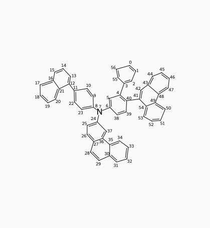 c1ccc(-c2cc(N(c3ccc(-c4cccc5ccccc45)cc3)c3ccc4ccc5ccccc5c4c3)ccc2-c2cc3ccccc3c3ccccc23)cc1